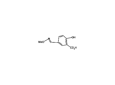 CON=Cc1ccc(O)c(C(=O)O)c1